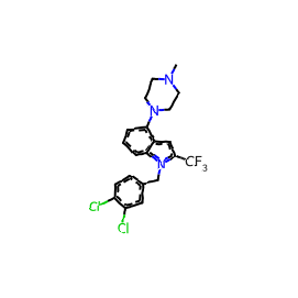 CN1CCN(c2cccc3c2cc(C(F)(F)F)n3Cc2ccc(Cl)c(Cl)c2)CC1